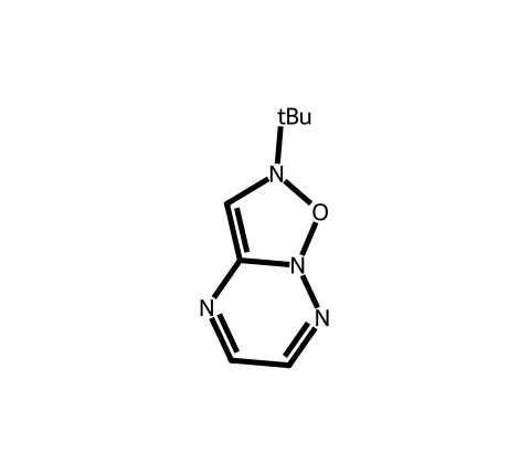 CC(C)(C)N1C=C2N=CC=NN2O1